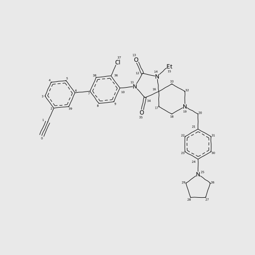 C#Cc1cccc(-c2ccc(N3C(=O)N(CC)C4(CCN(Cc5ccc(N6CCCC6)cc5)CC4)C3=O)c(Cl)c2)c1